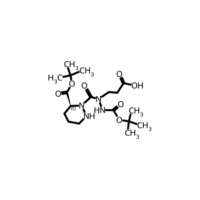 CC(C)(C)OC(=O)NN(CCC(=O)O)C(=O)N1NCCC[C@H]1C(=O)OC(C)(C)C